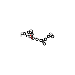 C=C(c1cccc(F)c1)C(c1ccc(F)cc1)c1cccc2oc3ccc(-c4cccc(-c5ccc(-c6ccc(N(c7ccccc7)c7ccc(-c8ccc9oc%10ccccc%10c9c8)cc7)cc6)cc5)c4)cc3c12